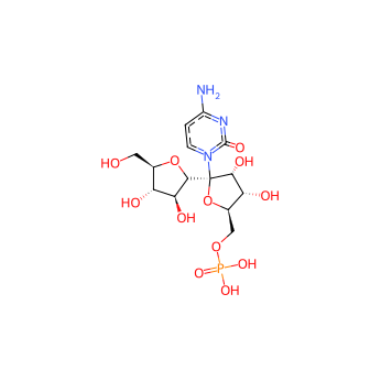 Nc1ccn([C@]2(C3O[C@H](CO)[C@@H](O)[C@@H]3O)O[C@H](COP(=O)(O)O)[C@@H](O)[C@H]2O)c(=O)n1